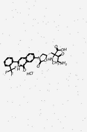 CNC(C[C@H]1CN(c2ccc3cc(-c4ccccc4C(F)(F)F)[nH]c(=O)c3c2)C(=O)O1)(C(=O)O)C(=O)CN.Cl